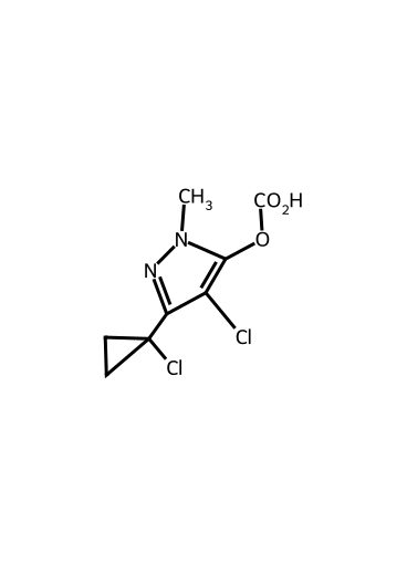 Cn1nc(C2(Cl)CC2)c(Cl)c1OC(=O)O